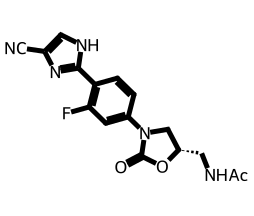 CC(=O)NC[C@H]1CN(c2ccc(-c3nc(C#N)c[nH]3)c(F)c2)C(=O)O1